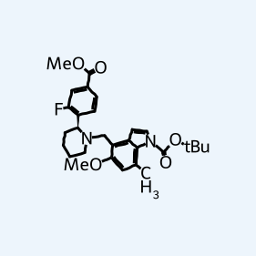 COC(=O)c1ccc([C@@H]2CCCCN2Cc2c(OC)cc(C)c3c2ccn3C(=O)OC(C)(C)C)c(F)c1